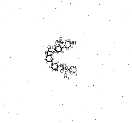 Cc1nc2ccc(-c3ccnc(NC(=O)OC(C)(C)C)c3)nc2n1-c1ccc(N2CCNCC2)c(C(F)(F)F)c1